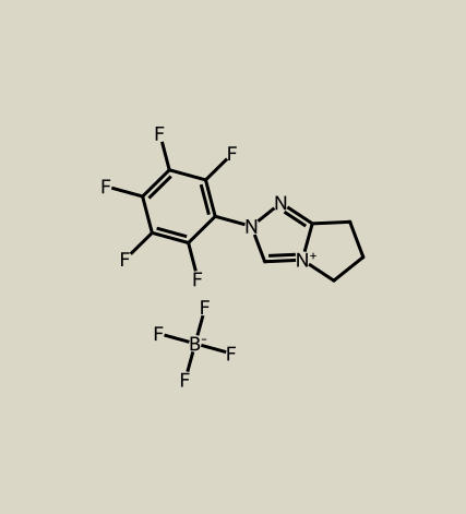 F[B-](F)(F)F.Fc1c(F)c(F)c(-n2c[n+]3c(n2)CCC3)c(F)c1F